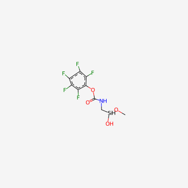 CO[SiH](O)CNC(=O)Oc1c(F)c(F)c(F)c(F)c1F